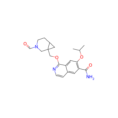 CC(C)Oc1cc2c(OCC34CC3CCN(C=O)C4)nccc2cc1C(N)=O